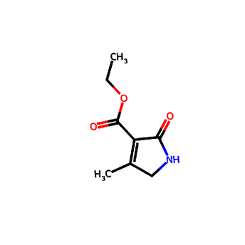 CCOC(=O)C1=C(C)CNC1=O